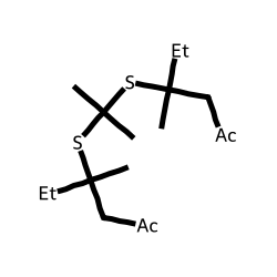 CCC(C)(CC(C)=O)SC(C)(C)SC(C)(CC)CC(C)=O